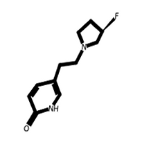 O=c1ccc(CCN2CC[C@@H](F)C2)c[nH]1